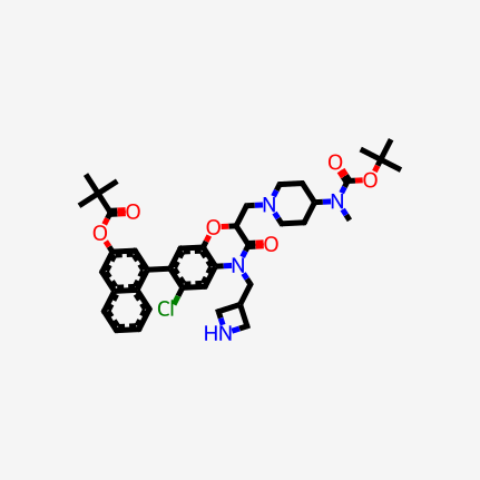 CN(C(=O)OC(C)(C)C)C1CCN(CC2Oc3cc(-c4cc(OC(=O)C(C)(C)C)cc5ccccc45)c(Cl)cc3N(CC3CNC3)C2=O)CC1